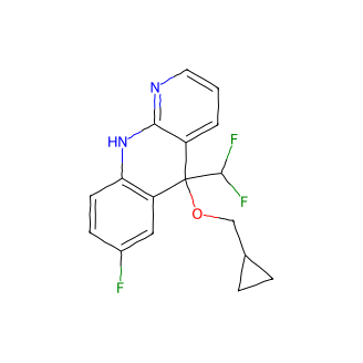 Fc1ccc2c(c1)C(OCC1CC1)(C(F)F)c1cccnc1N2